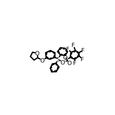 O=S(=O)(OS(c1ccccc1)(c1ccccc1)c1cccc(OC2CCCO2)c1)c1c(F)c(F)c(F)c(F)c1F